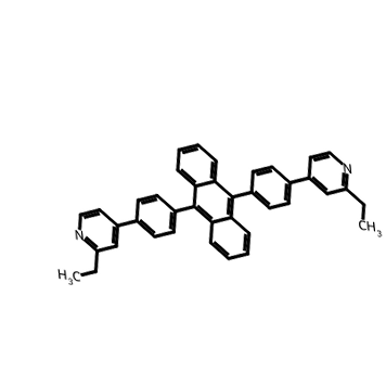 CCc1cc(-c2ccc(-c3c4ccccc4c(-c4ccc(-c5ccnc(CC)c5)cc4)c4ccccc34)cc2)ccn1